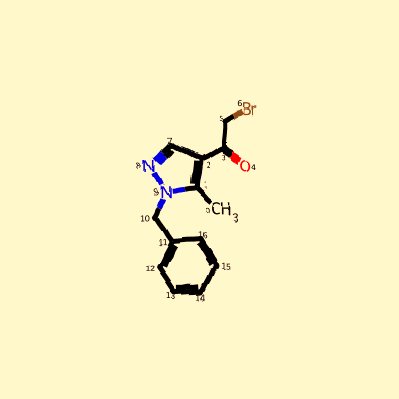 Cc1c(C(=O)CBr)cnn1Cc1ccccc1